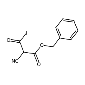 N#CC(C(=O)I)C(=O)OCc1ccccc1